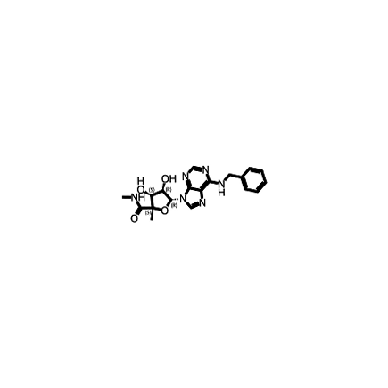 CNC(=O)[C@@]1(C)O[C@@H](n2cnc3c(NCc4ccccc4)ncnc32)[C@H](O)[C@@H]1O